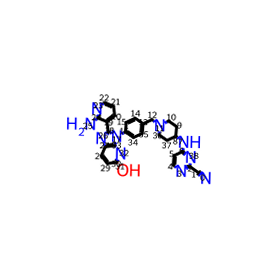 N#Cc1nccc(NC2CCN(Cc3ccc(-n4c(-c5cccnc5N)nc5ccc(O)nc54)cc3)CC2)n1